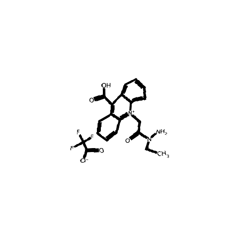 CCN(N)C(=O)C[n+]1c2ccccc2c(C(=O)O)c2ccccc21.O=C([O-])C(F)(F)F